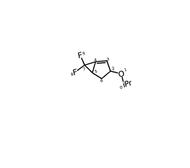 CC(C)OC1C=C2C(C1)C2(F)F